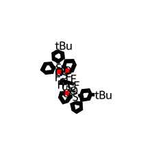 CC(C)(C)c1ccc(S(OS(=O)(=O)C(F)(F)C(F)(F)C(F)(F)S(=O)(=O)OS(c2ccccc2)(c2ccccc2)c2ccc(C(C)(C)C)cc2)(c2ccccc2)c2ccccc2)cc1